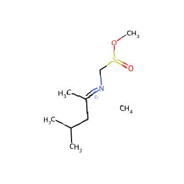 C.COS(=O)C/N=C(\C)CC(C)C